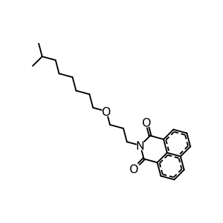 CC(C)CCCCCCOCCCN1C(=O)c2cccc3cccc(c23)C1=O